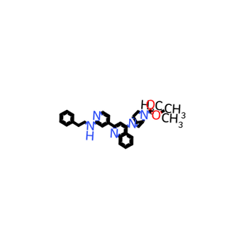 CC(C)(C)OC(=O)N1CC2CC1CN2c1cc(-c2ccnc(NCCc3ccccc3)c2)nc2ccccc12